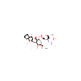 CC(=O)[C@@]1(O)Cc2c(O)c3c(c(O)c2[C@H](O[C@@H]2C[C@@H](N)[C@@H](O)[C@@H](C)O2)C1)C(=O)c1ccccc1C3=O